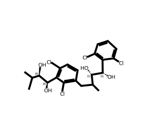 CC(C)[C@@H](O)[C@H](O)c1c(Cl)ccc(CC(C)[C@H](O)[C@@H](O)c2c(Cl)cccc2Cl)c1Cl